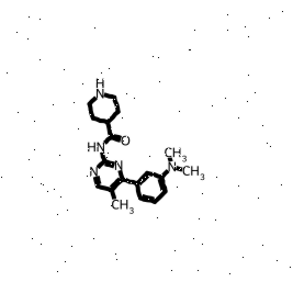 Cc1cnc(NC(=O)C2CCNCC2)nc1-c1cccc(N(C)C)c1